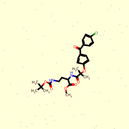 COC(=O)C(CCNC(=O)OC(C)(C)C)NC(=O)C(C)(C)Oc1ccc(C(=O)c2ccc(Cl)cc2)cc1